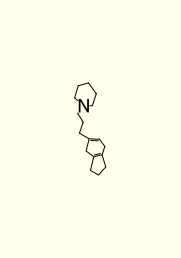 C1=C(CCCN2CCCCC2)CC2=C(C1)CCC2